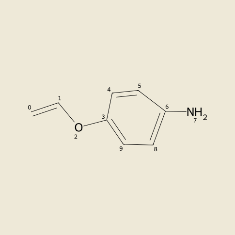 C=COc1ccc(N)cc1